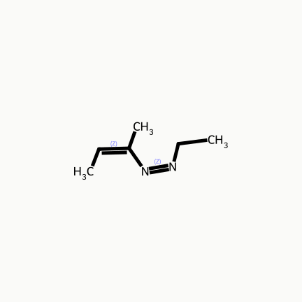 C/C=C(C)\N=N/CC